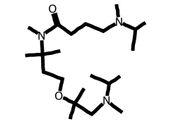 CC(C)N(C)CCCC(=O)N(C)C(C)(C)CCOC(C)(C)CN(C)C(C)C